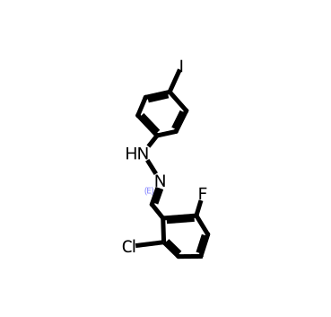 Fc1cccc(Cl)c1/C=N/Nc1ccc(I)cc1